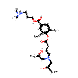 CCCCCCCCCCC(O)CN(CCCC(=O)Oc1c(OC)cc(C(=O)OCCCN(C)C)cc1OC)CC(O)CCCCCCCCCC